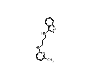 Cc1cccc(NCCCNc2nsc3ccccc23)n1